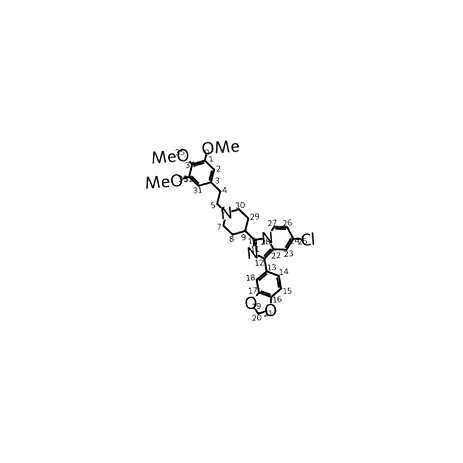 COc1cc(CCN2CCC(c3nc(-c4ccc5c(c4)OCO5)c4cc(Cl)ccn34)CC2)cc(OC)c1OC